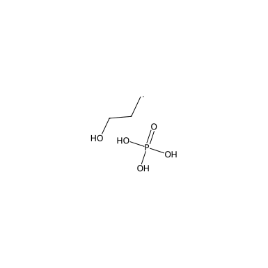 O=P(O)(O)O.[CH2]CCO